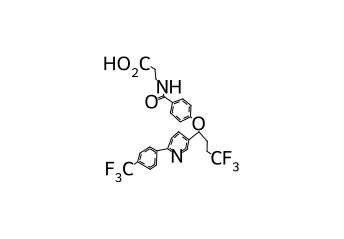 O=C(O)CCNC(=O)c1ccc(OC(CCC(F)(F)F)c2ccc(-c3ccc(C(F)(F)F)cc3)nc2)cc1